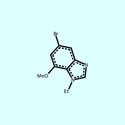 CCn1cnc2cc(Br)cc(OC)c21